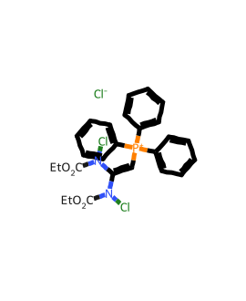 CCOC(=O)N(Cl)C(=C[P+](c1ccccc1)(c1ccccc1)c1ccccc1)N(Cl)C(=O)OCC.[Cl-]